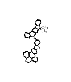 CC1(C)c2ccccc2-c2cc3c4ccccc4n(-c4ccc5oc6ccc(-c7cccc8ncc9cccnc9c78)cc6c5c4)c3cc21